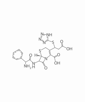 NC(C(=O)NC1C(=O)N2C(C(=O)O)=C(C(CC(=O)O)Sc3nnn[nH]3)CS[C@@H]12)c1ccccc1